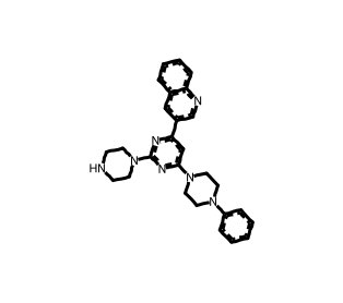 c1ccc(N2CCN(c3cc(-c4cnc5ccccc5c4)nc(N4CCNCC4)n3)CC2)cc1